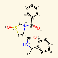 CC(NC(=O)[C@@H]1C[S@@+]([O-])CN1C(=O)c1ccccc1)c1ccccc1